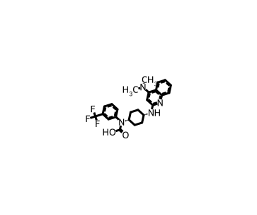 CN(C)c1cc(N[C@H]2CC[C@@H](N(C(=O)O)c3cccc(C(F)(F)F)c3)CC2)nc2ccccc12